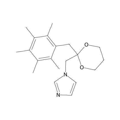 Cc1c(C)c(C)c(CC2(Cn3ccnc3)OCCCO2)c(C)c1C